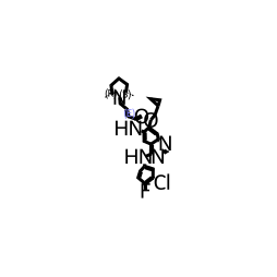 C[C@@H]1CCC[C@H](C)N1C/C=C/C(=O)Nc1cc2c(Nc3ccc(F)c(Cl)c3)ncnc2cc1OCC1CC1